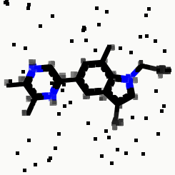 CC(=O)c1cn(CC(C)(C)C)c2c(C)cc(-c3cnc(C)c(C)n3)cc12